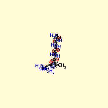 CC(C)C[C@H](NC(=O)[C@@H](N)CCCNC(N)N)C(=O)C(=O)CNNCC(=O)C(=O)CNNCC(=O)NCC(N)=O